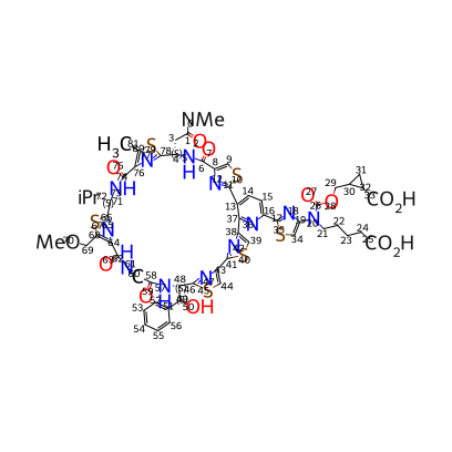 CNC(=O)C[C@@H]1NC(=O)c2csc(n2)-c2ccc(-c3nc(N(CCCCC(=O)O)C(=O)OCC4CC4C(=O)O)cs3)nc2-c2csc(n2)-c2csc(n2)[C@H]([C@@H](O)c2ccccc2)NC(=O)CNC(=O)c2nc(sc2COC)[C@H](C(C)C)NC(=O)c2nc1sc2C